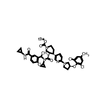 Cc1cc(Cl)c(O[C@H]2CCN(c3ccc([C@H]4CCN(C(=O)OC(C)(C)C)C[C@@H]4C(=O)N(C4CC4)C(C)c4cc(C(=O)NC5CC5)ccc4Cl)cn3)C2)c(Cl)c1